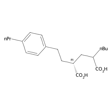 CCCCC(C[C@@H](CCc1ccc(CCC)cc1)C(=O)O)C(=O)O